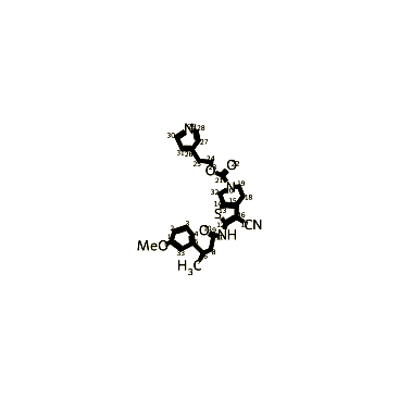 COc1cccc(C(C)CC(=O)Nc2sc3c(c2C#N)CCN(C(=O)OCCc2ccncc2)C3)c1